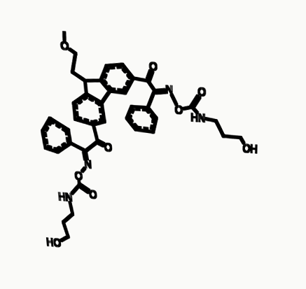 COCCC1c2ccc(C(=O)/C(=N/OC(=O)NCCCO)c3ccccc3)cc2-c2cc(C(=O)/C(=N/OC(=O)NCCCO)c3ccccc3)ccc21